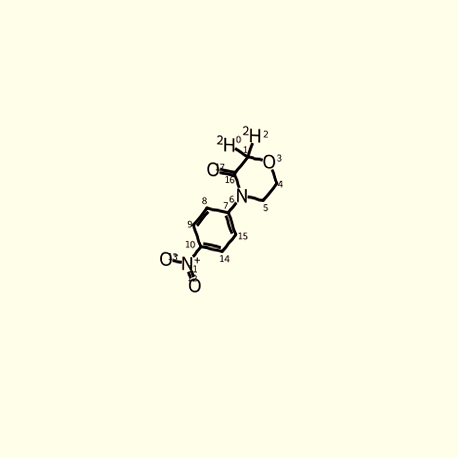 [2H]C1([2H])OCCN(c2ccc([N+](=O)[O-])cc2)C1=O